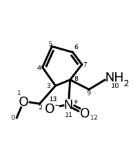 COCC1C=CC=CC1(CN)[N+](=O)[O-]